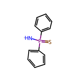 [NH]P(=S)(c1ccccc1)c1ccccc1